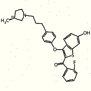 C[C@H]1CCN(CCCc2ccc(Oc3c(C(=O)c4ccccc4F)sc4cc(O)ccc34)cc2)C1